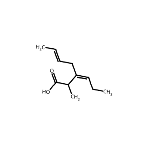 CC=CCC(=CCC)C(C)C(=O)O